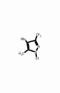 CCn1nc(C(F)(F)F)c(C(C)(C)C)c1C